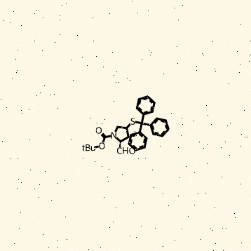 CC(C)(C)OC(=O)N1CC(SC(c2ccccc2)(c2ccccc2)c2ccccc2)C[C@H]1C=O